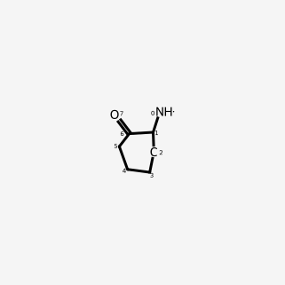 [NH]C1CCCCC1=O